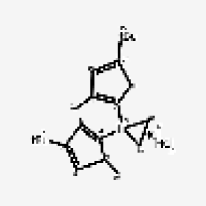 CC1=[C]([Ti]2([C]3=CC(C(C)(C)C)=CC3C)[CH2][CH2]2)CC(C(C)(C)C)=C1.Cl.Cl